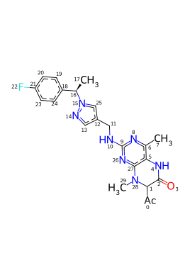 CC(=O)C1C(=O)Nc2c(C)nc(NCc3cnn([C@H](C)c4ccc(F)cc4)c3)nc2N1C